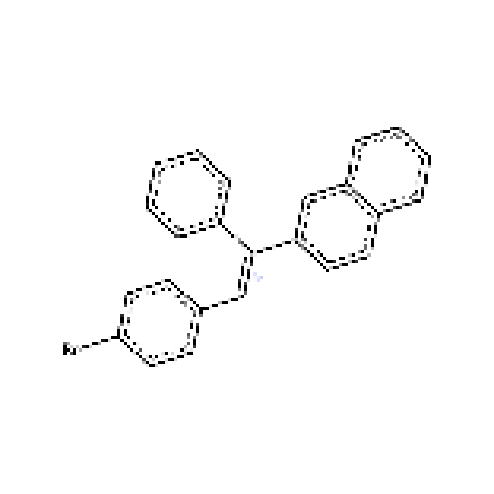 Brc1ccc(/C=C(\c2ccccc2)c2ccc3ccccc3c2)cc1